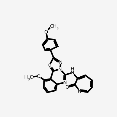 COc1ccc(-c2nc3c4c(OC)cccc4nc(Nc4ccccnc4=O)n3n2)cc1